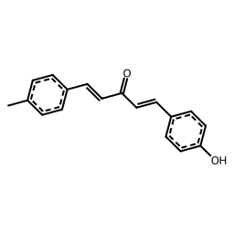 Cc1ccc(C=CC(=O)C=Cc2ccc(O)cc2)cc1